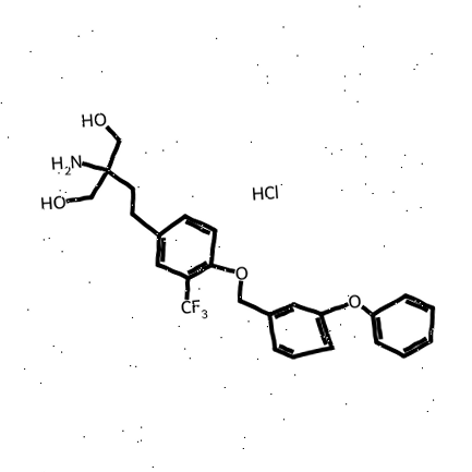 Cl.NC(CO)(CO)CCc1ccc(OCc2cccc(Oc3ccccc3)c2)c(C(F)(F)F)c1